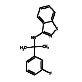 CC(C)(Nc1nsc2ccccc12)c1cccc(F)c1